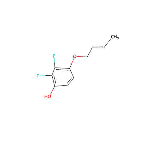 CC=CCOc1ccc(O)c(F)c1F